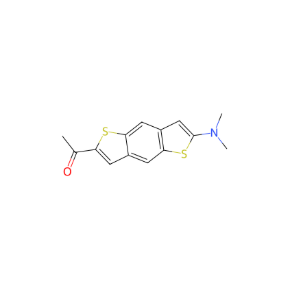 CC(=O)c1cc2cc3sc(N(C)C)cc3cc2s1